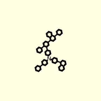 c1ccc(-c2ccc(N(c3ccc(-c4cc(-c5ccc(-c6ccccc6)c6ccccc56)ccc4-c4ccccc4)cc3)c3ccc(-c4cccc5ccccc45)cc3)cc2)cc1